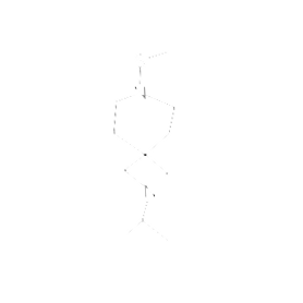 CSN1CCC2(CC1)CN(C(C)C)C2